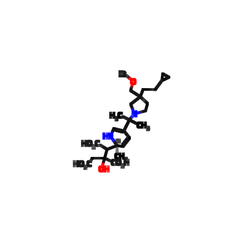 CCOCC1(CCC2CC2)CCN(C(C)(C)C2=CN[C@](C)(C(C(=O)O)C(O)(CC(=O)O)C(=O)O)C=C2)C1